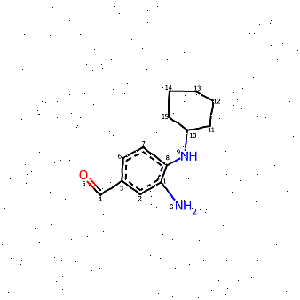 Nc1cc(C=O)ccc1NC1CCCCC1